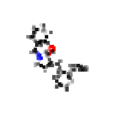 COc1ccccc1CC1CCN(Cc2ccccc2)C1=O